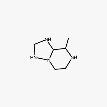 CC1NCCN2NCNC12